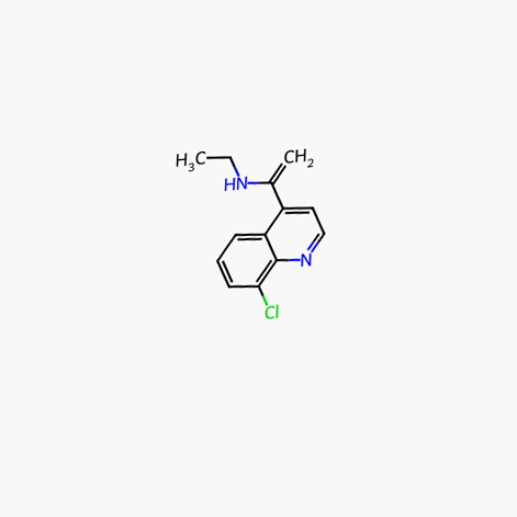 C=C(NCC)c1ccnc2c(Cl)cccc12